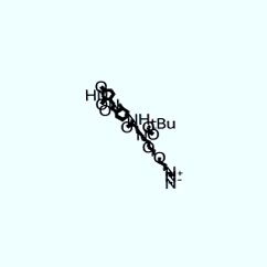 CC(C)(C)OC(=O)N(CCOCCOCCCN=[N+]=[N-])CCC(=O)Nc1ccc2c(c1)CN(C1CCC(=O)NC1=O)C2=O